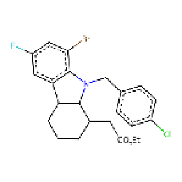 CCOC(=O)CC1CCCC2c3cc(F)cc(Br)c3N(Cc3ccc(Cl)cc3)C12